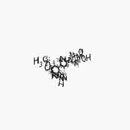 CCOc1cc(-c2ccc(N3C[C@H]4CN(C(=O)O)C[C@H]4C3)nc2)c2c3cn[nH]c3nn2c1